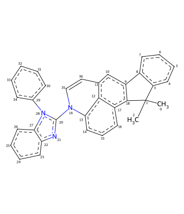 CC1(C)c2ccccc2-c2cc3c4c(cccc4c21)N(c1nc2ccccc2n1-c1ccccc1)C=C3